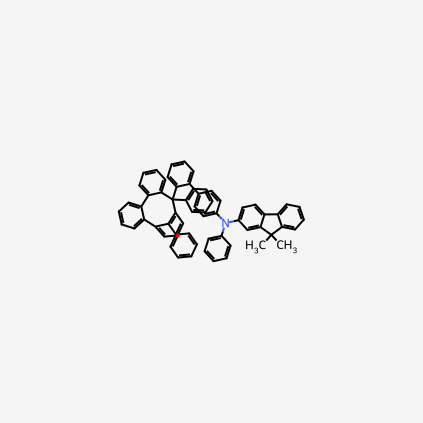 CC1(C)c2ccccc2-c2ccc(N(c3ccccc3)c3ccc(-c4ccccc4C4(c5ccccc5)c5ccccc5-c5ccccc5-c5cccc4c5-c4ccccc4)cc3)cc21